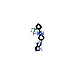 Clc1ccccc1-c1nc2c([nH]1)CC(N1Cc3cccnc3C1)CC2